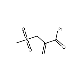 C=C(CS(C)(=O)=O)C(=O)C(C)C